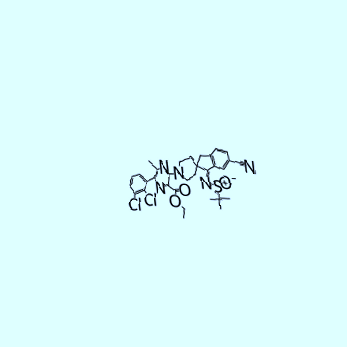 CCOC(=O)c1nc(-c2cccc(Cl)c2Cl)c(C)nc1N1CCC2(CC1)Cc1ccc(C#N)cc1C2=N[S@+]([O-])C(C)(C)C